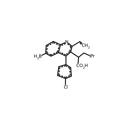 Bc1ccc2nc(C=C)c(C(CC(C)C)C(=O)O)c(-c3ccc(Cl)cc3)c2c1